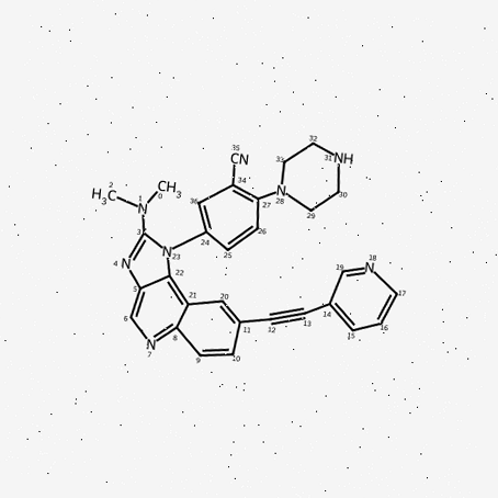 CN(C)c1nc2cnc3ccc(C#Cc4cccnc4)cc3c2n1-c1ccc(N2CCNCC2)c(C#N)c1